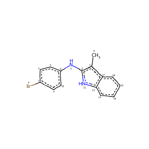 Cc1c(Nc2ccc(Br)cc2)[nH]c2ccccc12